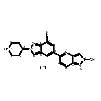 Cl.Cn1cc2nc(-c3cc(F)c4nn(C5CCNCC5)cc4c3)ccc2n1